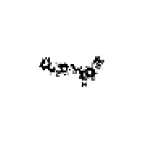 c1cncc(CN2CC3CN(CCCc4c[nH]c5ccc(-n6cnnc6)cc45)CC3C2)c1